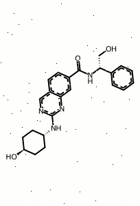 O=C(N[C@H](CO)c1ccccc1)c1ccc2cnc(N[C@H]3CC[C@H](O)CC3)nc2c1